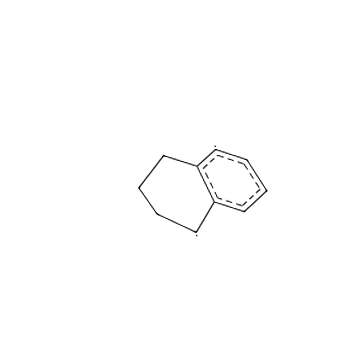 [c]1cccc2c1CCC[CH]2